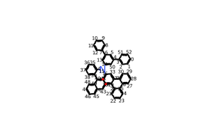 c1ccc(-c2cc(-c3ccccc3)cc(N(c3ccc4c5ccccc5c5ccccc5c4c3)c3ccccc3-c3cccc4ccccc34)c2)cc1